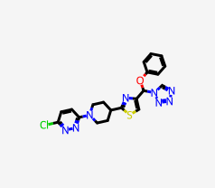 Clc1ccc(N2CCC(c3nc(C(Oc4ccccc4)n4cnnn4)cs3)CC2)nn1